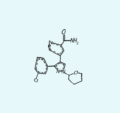 NC(=O)c1cc(-c2cn(C3CCCCO3)nc2-c2cccc(Cl)c2)ccn1